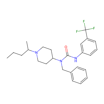 CCCC(C)N1CCC(N(Cc2ccccc2)C(=O)Nc2cccc(C(F)(F)F)c2)CC1